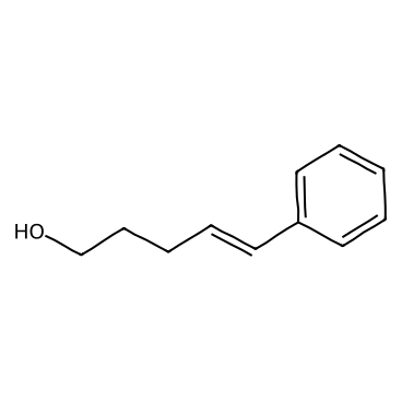 OCCCC=Cc1ccccc1